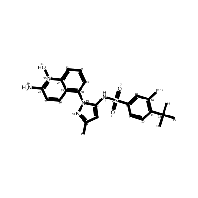 Cc1cc(NS(=O)(=O)c2ccc(C(C)(C)C)c(F)c2)n(-c2cccc3c2ccc(N)[n+]3O)n1